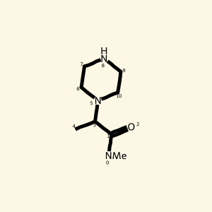 CNC(=O)C(C)N1CCNCC1